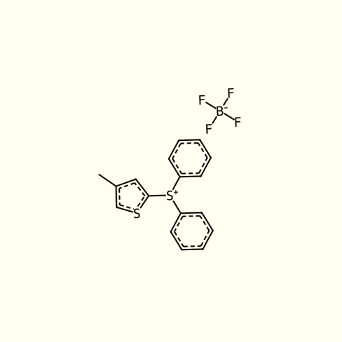 Cc1csc([S+](c2ccccc2)c2ccccc2)c1.F[B-](F)(F)F